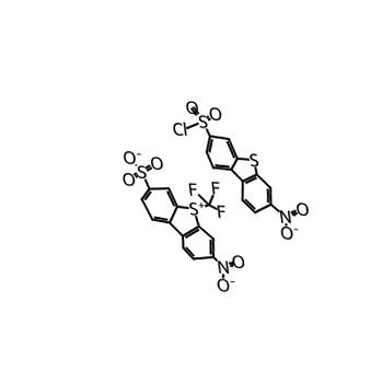 O=[N+]([O-])c1ccc2c(c1)sc1cc(S(=O)(=O)Cl)ccc12.O=[N+]([O-])c1ccc2c3ccc(S(=O)(=O)[O-])cc3[s+](C(F)(F)F)c2c1